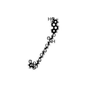 CC12CCC3c4ccc(OCCC(=O)NCCOCCOCCOCCOCCC(=O)ON5C(=O)CCC5=O)cc4CCC3C1CCC2O